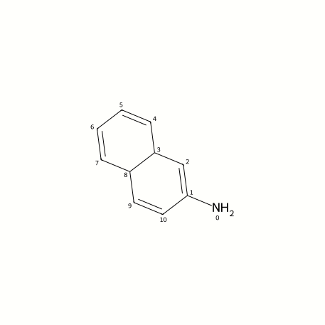 NC1=CC2C=CC=CC2C=C1